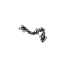 CC(C)(C)c1nc(C(=O)NCc2ccc(-c3ncnc4[nH]c(-c5ccc(N6CCN(CC7CCN(c8ccc(N9CCC(=O)NC9=O)cc8)CC7)CC6)nc5)cc34)cc2F)no1